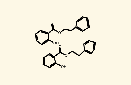 O=C(OCCc1ccccc1)c1ccccc1O.O=C(OCCc1ccccc1)c1ccccc1O